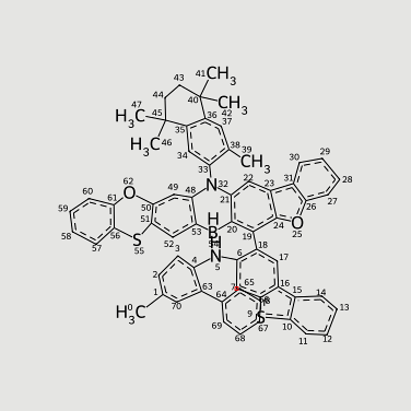 Cc1ccc(Nc2cc3sc4ccccc4c3cc2-c2c3c(cc4c2oc2ccccc24)N(c2cc4c(cc2C)C(C)(C)CCC4(C)C)c2cc4c(cc2B3)Sc2ccccc2O4)c(-c2ccccc2)c1